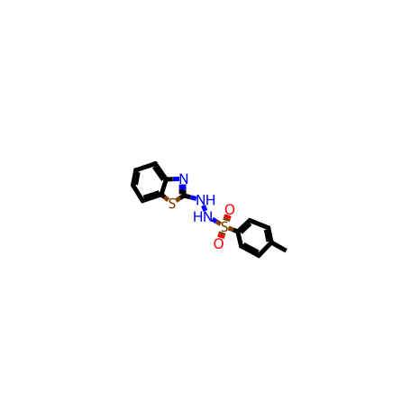 Cc1ccc(S(=O)(=O)NNc2nc3ccccc3s2)cc1